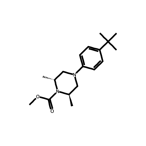 COC(=O)N1[C@H](C)CN(c2ccc(C(C)(C)C)cc2)C[C@H]1C